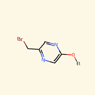 CCOc1cnc(CBr)cn1